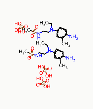 CCN(CCNS(C)(=O)=O)c1ccc(N)c(C)c1.CCN(CCNS(C)(=O)=O)c1ccc(N)c(C)c1.O=S(=O)(O)O.O=S(=O)(O)O.O=S(=O)(O)O